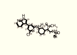 CN(C)C(CN[SH](=O)=O)C1CCCC(Nc2cc(-c3c[nH]c4ncccc34)cc(Cl)n2)C1